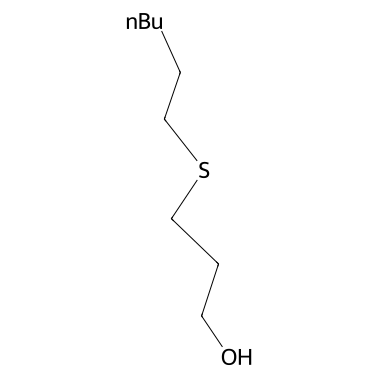 CCCCCCSCCCO